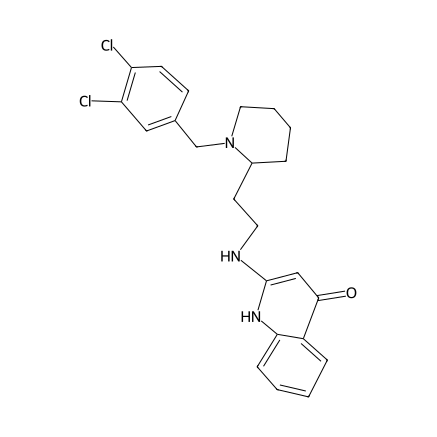 O=c1cc(NCCC2CCCCN2Cc2ccc(Cl)c(Cl)c2)[nH]c2ccccc12